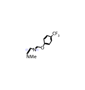 CN/C=C\N=C\Oc1ccc(C(F)(F)F)cc1